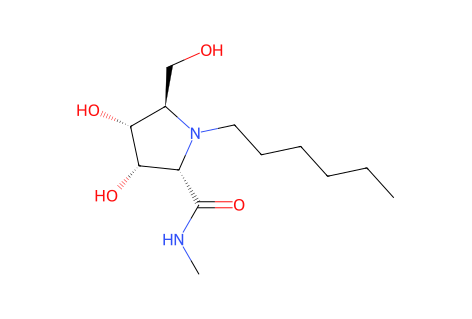 CCCCCCN1[C@H](CO)[C@@H](O)[C@@H](O)[C@H]1C(=O)NC